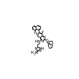 Nc1n[nH]c(CCNc2nc(OCC34CCCN3CCC4)nc3c(F)c(-c4cccc5cccc(F)c45)ncc23)n1